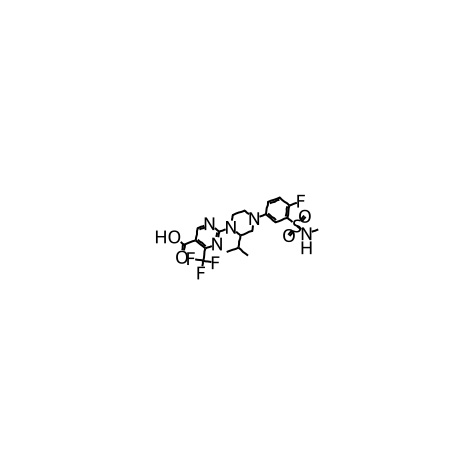 CNS(=O)(=O)c1cc(N2CCN(c3ncc(C(=O)O)c(C(F)(F)F)n3)C(C(C)C)C2)ccc1F